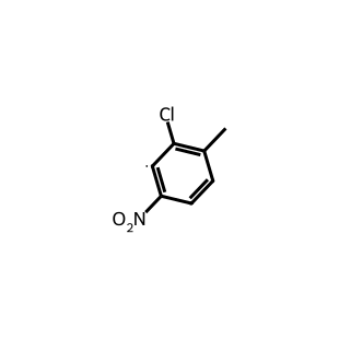 Cc1ccc([N+](=O)[O-])[c]c1Cl